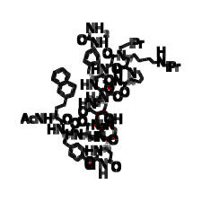 CC(=O)N[C@H](CCc1ccc2ccccc2c1)C(=O)N[C@H](Cc1ccc(Cl)cc1)C(=O)N[C@H](Cc1cccnc1)C(=O)NC(CO)C(=O)N[C@@H](Cc1ccc(NC(=O)[C@@H]2CC(=O)NC(=O)N2)cc1)C(=O)N[C@H](Cc1ccc(NC(N)=O)cc1)C(=O)NCC(=O)N(CC(C)C)[C@@H](CCCCNC(C)C)C(=O)N1CCC[C@H]1C(=O)N[C@H](C)C(N)=O